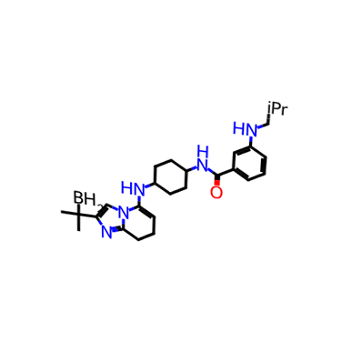 BC(C)(C)c1cn2c(n1)CCC=C2NC1CCC(NC(=O)c2cccc(NCC(C)C)c2)CC1